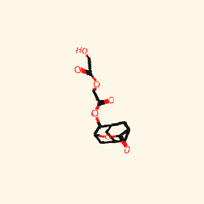 O=C(CO)OCC(=O)OC1C2CC3CC(C2)C(=O)OC1C3